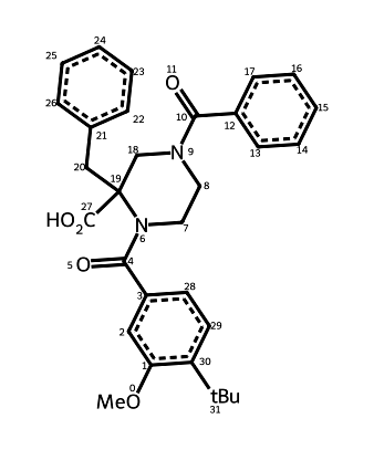 COc1cc(C(=O)N2CCN(C(=O)c3ccccc3)CC2(Cc2ccccc2)C(=O)O)ccc1C(C)(C)C